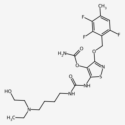 CCN(CCO)CCCCNC(=O)Nc1snc(OCc2c(F)cc(C)c(F)c2F)c1OC(N)=O